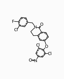 O=Nc1cc(Cl)c(Oc2ccc3c(c2)CCN(Cc2ccc(F)c(Cl)c2)C3=O)c(Cl)c1